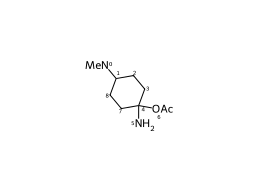 CNC1CCC(N)(OC(C)=O)CC1